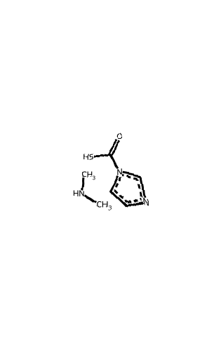 CNC.O=C(S)n1ccnc1